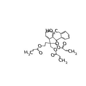 C=CC(=O)OCCC(COC(=O)C=C)(COC(=O)C=C)c1ccccc1C(=O)c1ccccc1C(=O)O